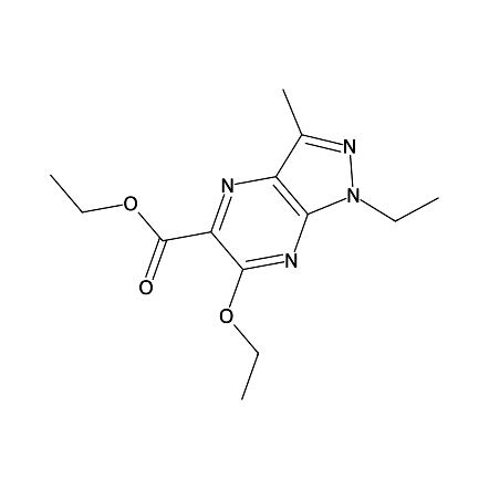 CCOC(=O)c1nc2c(C)nn(CC)c2nc1OCC